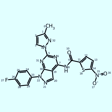 Cc1ccn(-c2nc(NC(=O)c3ccc([N+](=O)[O-])s3)c3cnn(-c4ccc(F)cc4)c3n2)n1